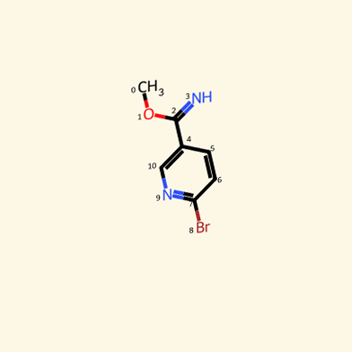 COC(=N)c1ccc(Br)nc1